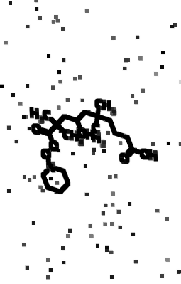 CC(C)(CCCC(=O)O)CC(O)CC(C)(C)C(=O)OON1CCCCC1